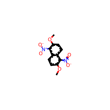 COc1ccc2c([N+](=O)[O-])c(OC)ccc2c1[N+](=O)[O-]